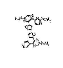 CSc1nccc(-c2ncc(N)nc2-c2ccco2)n1.Nc1cnc(-c2ccncc2)c(-c2ccco2)n1